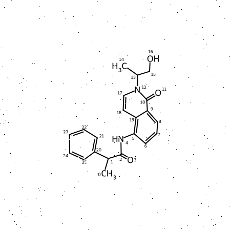 CC(C(=O)Nc1cccc2c(=O)n(C(C)CO)ccc12)c1ccccc1